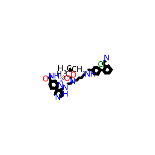 CC(C)(C)OC(=O)N(CCCCNCc1ccc(-c2ccccc2CC#N)c(Cl)c1)CCNc1nc2cc(C(N)=O)ccc2c2cnccc12